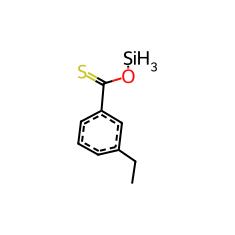 CCc1cccc(C(=S)O[SiH3])c1